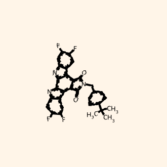 CC(C)(C)c1ccc(Cn2c(=O)c3c(c2=O)c2c4cc(F)c(F)cc4nc2c2nc4cc(F)c(F)cc4c23)cc1